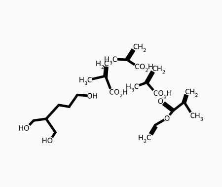 C=C(C)C(=O)O.C=C(C)C(=O)O.C=C(C)C(=O)O.C=COC(=O)C(=C)C.OCCCC(CO)CO